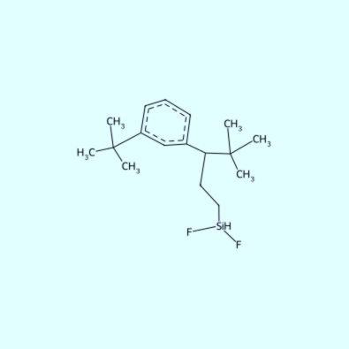 CC(C)(C)c1cccc(C(CC[SiH](F)F)C(C)(C)C)c1